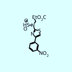 CCOC(=O)CN(c1nc(-c2cccc([N+](=O)[O-])c2)cs1)[SH](=O)=O